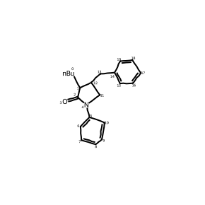 CCCCC1C(=O)N(c2ccccc2)CC1Cc1ccccc1